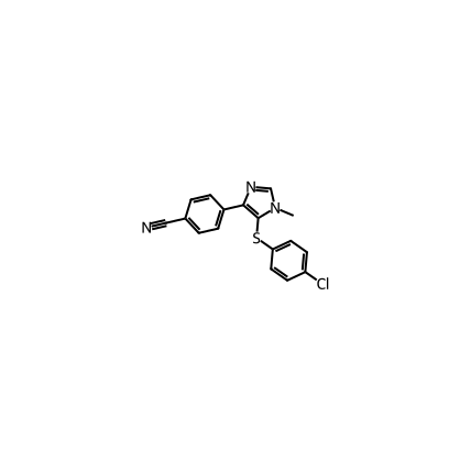 Cn1cnc(-c2ccc(C#N)cc2)c1Sc1ccc(Cl)cc1